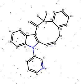 C=C1c2c(n(-c3cccnc3)c3ccccc23)/C=C\Cc2ccccc2C1(C)C